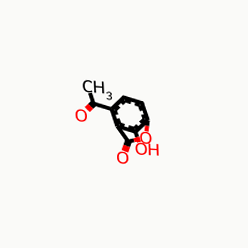 CC(=O)c1ccc2c(O)c1C(=O)O2